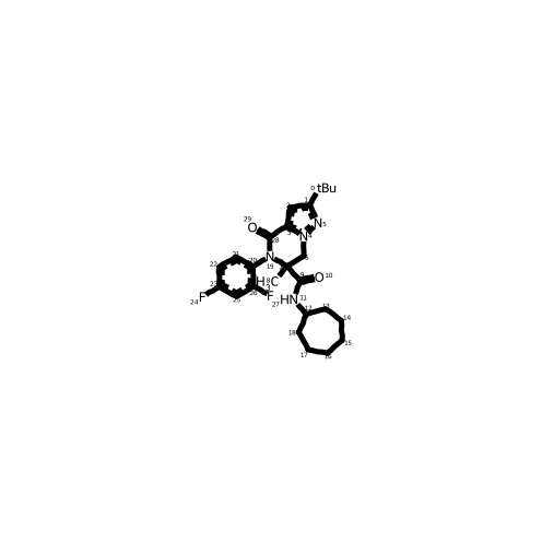 CC(C)(C)c1cc2n(n1)CC(C)(C(=O)NC1CCCCCC1)N(c1ccc(F)cc1F)C2=O